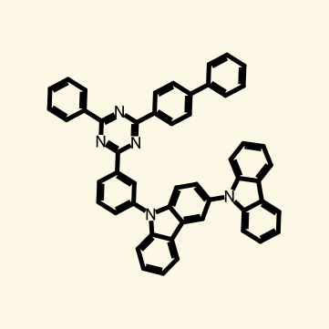 c1ccc(-c2ccc(-c3nc(-c4ccccc4)nc(-c4cccc(-n5c6ccccc6c6cc(-n7c8ccccc8c8ccccc87)ccc65)c4)n3)cc2)cc1